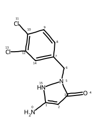 Nc1cc(=O)n(Cc2ccc(Cl)c(Cl)c2)[nH]1